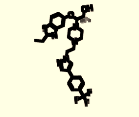 CCc1nc2cc(OC([C@@H](C)O)N3CCN(CCn4cc(-c5ccc(C(F)(F)F)cc5)cn4)CC3)ccc2s1